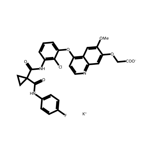 COc1cc2c(Oc3cccc(NC(=O)C4(C(=O)Nc5ccc(F)cc5)CC4)c3Cl)ccnc2cc1OCC(=O)[O-].[K+]